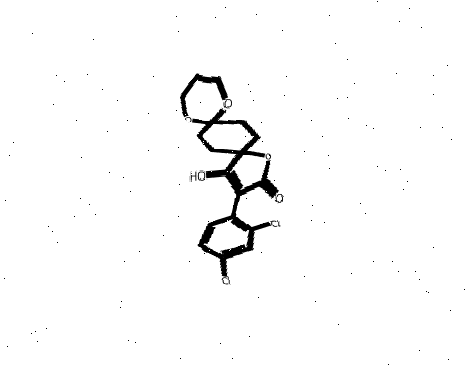 O=C1OC2(CCC3(CC2)OCCCO3)C(O)=C1c1ccc(Cl)cc1Cl